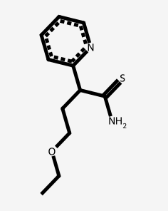 CCOCCC(C(N)=S)c1ccccn1